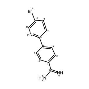 N=C(N)c1ccc(-c2ccc(Br)cn2)cc1